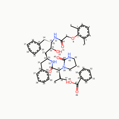 Cc1cccc(C)c1OCC(=O)N[C@@H](Cc1ccccc1)[C@@H](O)C[C@H](Cc1ccccc1)NC(=O)[C@H](C(C)C)N1CCCNC1=O.O=C(O)c1ccccc1